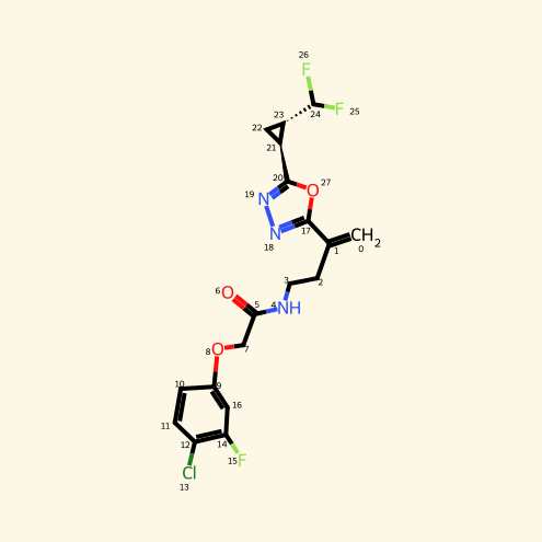 C=C(CCNC(=O)COc1ccc(Cl)c(F)c1)c1nnc([C@H]2C[C@@H]2C(F)F)o1